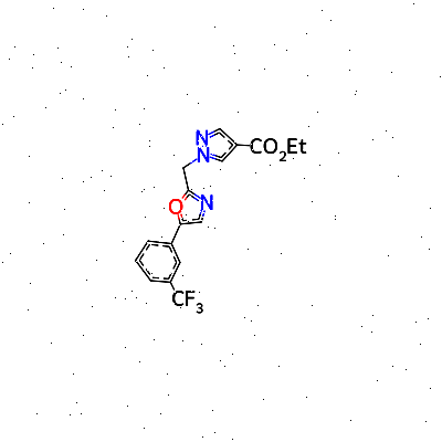 CCOC(=O)c1cnn(Cc2ncc(-c3cccc(C(F)(F)F)c3)o2)c1